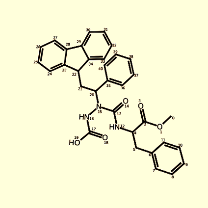 COC(=O)C(Cc1ccccc1)NC(=O)N(NC(=O)O)C(CC1c2ccccc2-c2ccccc21)c1ccccc1